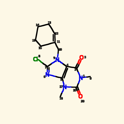 Cn1c(=O)c2c(nc(Cl)n2CC2=CCCCC2)n(C)c1=O